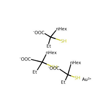 CCCCCCC(S)(CC)C(=O)[O-].CCCCCCC(S)(CC)C(=O)[O-].CCCCCCC(S)(CC)C(=O)[O-].[Au+3]